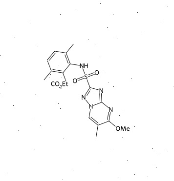 CCOC(=O)c1c(C)ccc(C)c1NS(=O)(=O)c1nc2nc(OC)c(C)cn2n1